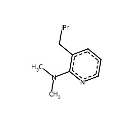 CC(C)Cc1cccnc1N(C)C